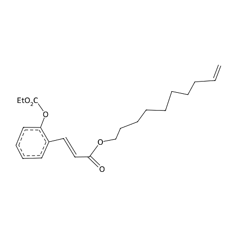 C=CCCCCCCCCOC(=O)C=Cc1ccccc1OC(=O)OCC